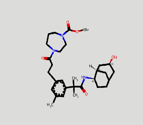 Cc1cc(CCC(=O)N2CCCN(C(=O)OC(C)(C)C)CC2)cc(C(C)(C)C(=O)N[C@@H]2CCC3C[C@H](O)C[C@H]2C3)c1